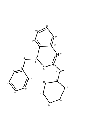 c1ccc(CN2CC(NC3CCCCC3)=Nc3ccccc32)cc1